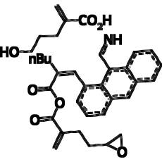 C=C(CCC1CO1)C(=O)OC(=O)C(=Cc1cccc2cc3ccccc3c(C=N)c12)CCCC.C=C(CCCO)C(=O)O